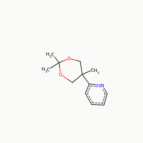 CC1(C)OCC(C)(c2ccccn2)CO1